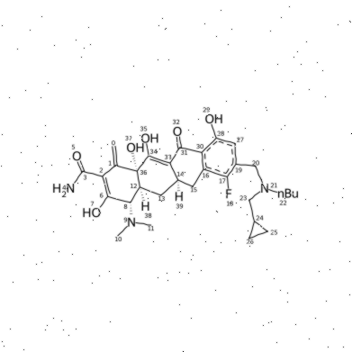 C=C1C(C(N)=O)=C(O)[C@@H](N(C)C)[C@@H]2C[C@@H]3Cc4c(F)c(CN(CCCC)CC5CC5)cc(O)c4C(=O)C3=C(O)[C@]12O